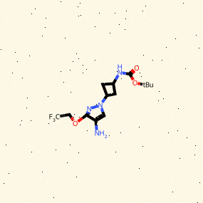 CC(C)(C)OC(=O)NC1CC(n2cc(N)c(OCC(F)(F)F)n2)C1